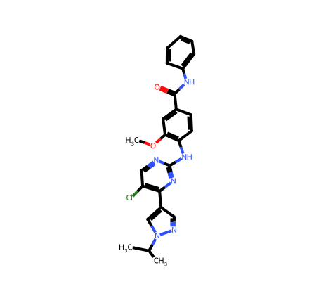 COc1cc(C(=O)Nc2ccccc2)ccc1Nc1ncc(Cl)c(-c2cnn(C(C)C)c2)n1